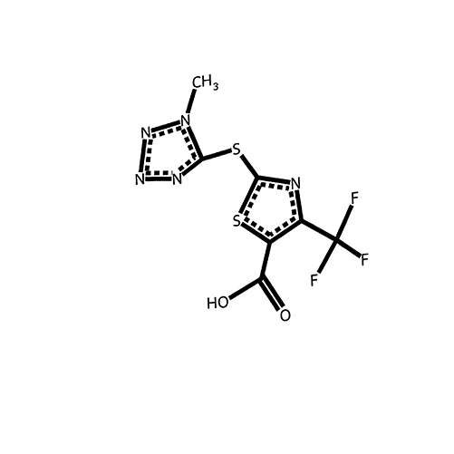 Cn1nnnc1Sc1nc(C(F)(F)F)c(C(=O)O)s1